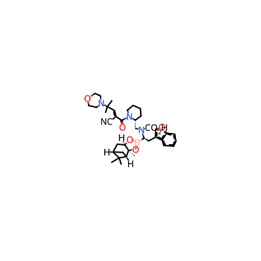 CC1(C)[C@@H]2C[C@H]3OB([C@H](Cc4coc5ccccc45)N(C[C@H]4CCCCN4C(=O)C(C#N)=CC(C)(C)N4CCOCC4)C(=O)O)O[C@@]3(C)[C@H]1C2